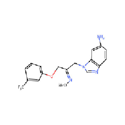 CON=C(COc1cccc(C(F)(F)F)c1)Cn1cnc2ccc(N)cc21